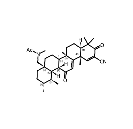 CC(=O)N(C)C[C@]12CC[C@@H](C)[C@H](C)[C@H]1[C@H]1C(=O)C=C3[C@@]4(C)C=C(C#N)C(=O)C(C)(C)[C@@H]4CC[C@@]3(C)[C@]1(C)CC2